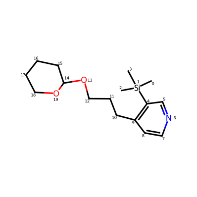 C[Si](C)(C)c1cnccc1CCCOC1CCCCO1